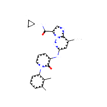 CNc1cc(Nc2cccn(-c3cccc(C(=O)O)c3C)c2=O)nn2c(C(=O)N[C@@H]3C[C@@H]3F)cnc12